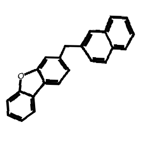 c1ccc2cc(Cc3ccc4c(c3)oc3ccccc34)ccc2c1